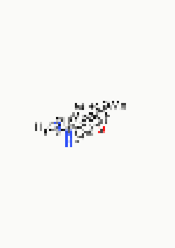 COc1ccc(C(=O)C=Cc2ccc(NCCN(C)C)cc2)c(OC)c1OC